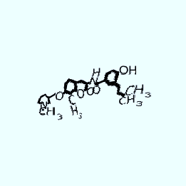 CC(C)=CCc1cc(C(=O)Nc2cc3ccc(OCC4CCCN(C)C4)c(C)c3oc2=O)ccc1O